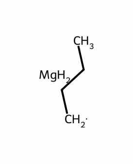 [CH2]CCC.[MgH2]